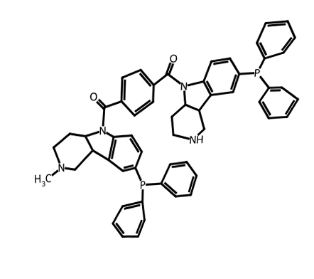 CN1CCC2C(C1)c1cc(P(c3ccccc3)c3ccccc3)ccc1N2C(=O)c1ccc(C(=O)N2c3ccc(P(c4ccccc4)c4ccccc4)cc3C3CNCCC32)cc1